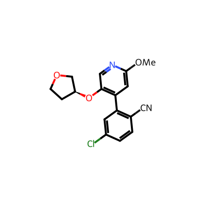 COc1cc(-c2cc(Cl)ccc2C#N)c(O[C@H]2CCOC2)cn1